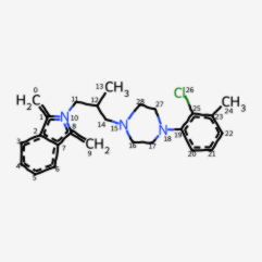 C=c1c2ccccc2c(=C)n1CC(C)CN1CCN(c2cccc(C)c2Cl)CC1